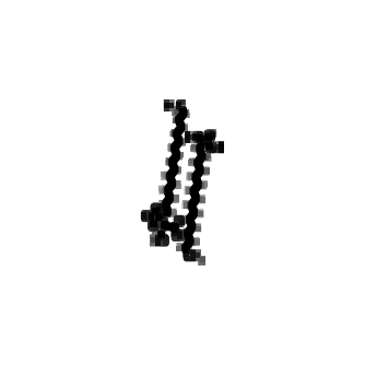 CCCCCCCCCCCCCCCCN([C@@H](CO)C(=O)O)P(=O)(O)O.CCCCCCCCCCCCCCCCP(=O)(O)O